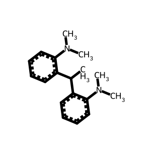 CC(c1ccccc1N(C)C)c1ccccc1N(C)C